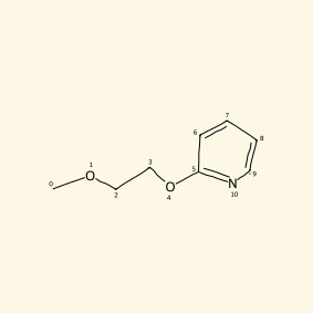 COCCOc1ccc[c]n1